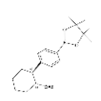 CC(=O)O[C@@H]1CCCC[C@H]1c1ccc(B2OC(C)(C)C(C)(C)O2)cc1